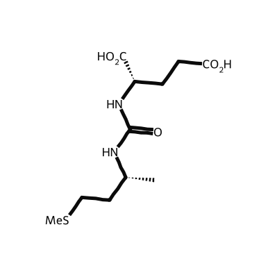 C[C@H](CCS[11CH3])NC(=O)N[C@@H](CCC(=O)O)C(=O)O